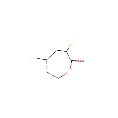 CC1CCOC(=O)C(S)C1